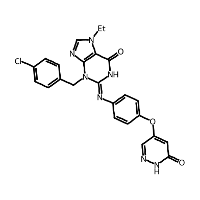 CCn1cnc2c1c(=O)[nH]/c(=N\c1ccc(Oc3cn[nH]c(=O)c3)cc1)n2Cc1ccc(Cl)cc1